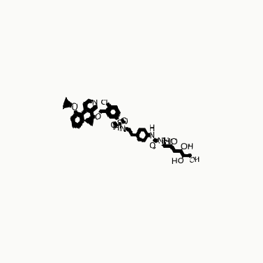 O=C(NC[C@H](O)C[C@H](O)[C@H](O)CO)NC1CCC(CCNS(=O)(=O)c2ccc(Cl)c(COC3(c4cnccc4-c4ccccc4OC4CC4)CC3)c2)CC1